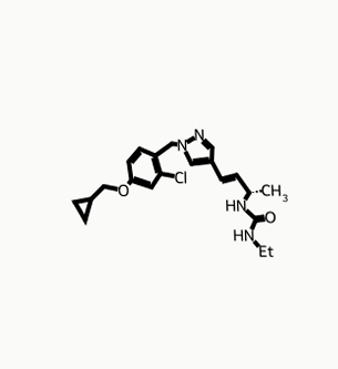 CCNC(=O)N[C@@H](C)/C=C/c1cnn(Cc2ccc(OCC3CC3)cc2Cl)c1